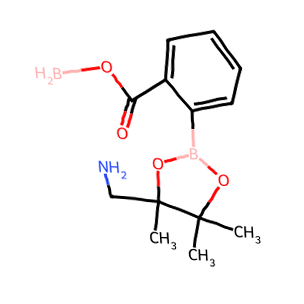 BOC(=O)c1ccccc1B1OC(C)(C)C(C)(CN)O1